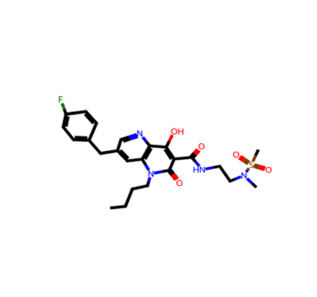 CCCCn1c(=O)c(C(=O)NCCN(C)S(C)(=O)=O)c(O)c2ncc(Cc3ccc(F)cc3)cc21